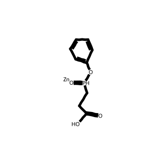 O=C(O)CC[PH](=O)Oc1ccccc1.[Zn]